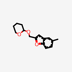 Cc1ccc2oc(COC3CCCCO3)cc2c1